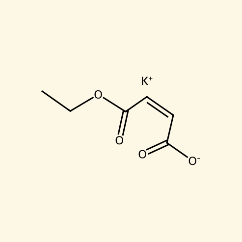 CCOC(=O)/C=C\C(=O)[O-].[K+]